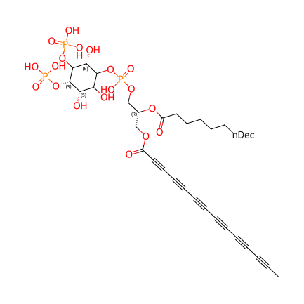 CC#CC#CC#CC#CC#CC#CC(=O)OC[C@H](COP(=O)(O)OC1C(O)[C@H](O)[C@H](OP(=O)(O)O)C(OP(=O)(O)O)[C@@H]1O)OC(=O)CCCCCCCCCCCCCCC